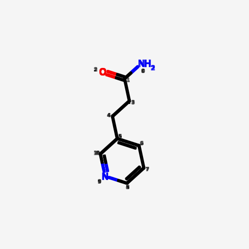 NC(=O)[CH]Cc1cccnc1